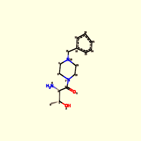 C[C@@H](O)[C@H](N)C(=O)N1CCN(Cc2ccccc2)CC1